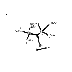 CC(C)C.CO[Si](OC)(OC)C(C(C)C)[Si](OC)(OC)OC